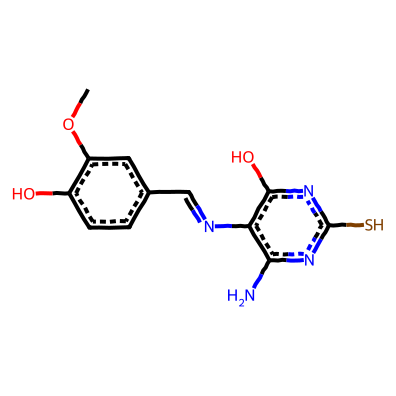 COc1cc(/C=N/c2c(N)nc(S)nc2O)ccc1O